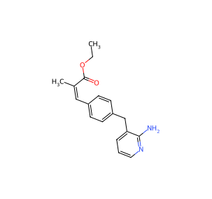 CCOC(=O)C(C)=Cc1ccc(Cc2cccnc2N)cc1